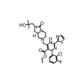 CCOC(=O)C1=C(CN2CCN3C(=O)N(CC(C)(C)O)C[C@@H]3C2)NC(c2nccs2)=N[C@H]1c1cccc(F)c1Cl